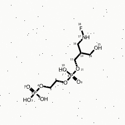 O=P(O)(O)OCCOP(=O)(O)OCC(CO)CNF